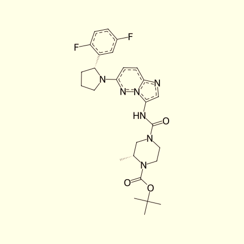 C[C@@H]1CN(C(=O)Nc2cnc3ccc(N4CCC[C@@H]4c4cc(F)ccc4F)nn23)CCN1C(=O)OC(C)(C)C